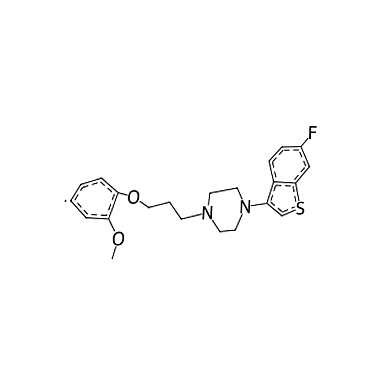 COc1c[c]ccc1OCCCN1CCN(c2csc3cc(F)ccc23)CC1